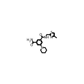 Cc1csc(CNC(=O)c2cc(C(N)=O)cc(N3CCCCC3)c2)n1